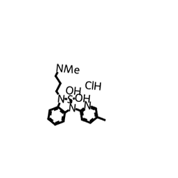 CNCCCN1c2ccccc2N(c2ccc(C)cn2)S1(O)O.Cl